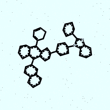 C1=CCCC(c2c3ccccc3c(-c3ccc4ccccc4c3)c3ccc(-c4ccc(-n5c(-c6ccccc6)nc6ccccc65)cc4)cc23)=C1